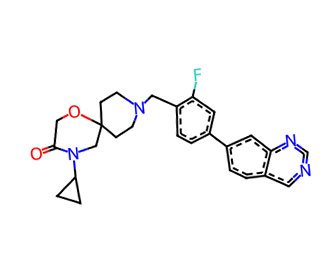 O=C1COC2(CCN(Cc3ccc(-c4ccc5cncnc5c4)cc3F)CC2)CN1C1CC1